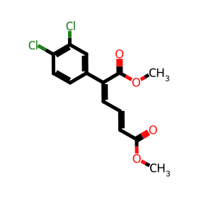 COC(=O)C=CC=C(C(=O)OC)c1ccc(Cl)c(Cl)c1